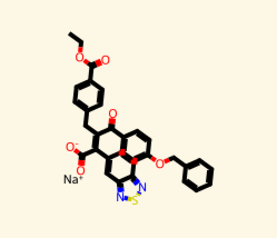 CCOC(=O)c1ccc(C/C(C(=O)c2ccc(OCc3ccccc3)cc2)=C(\C(=O)[O-])c2ccc3nsnc3c2)cc1.[Na+]